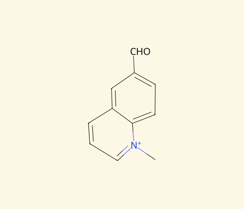 C[n+]1cccc2cc(C=O)ccc21